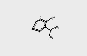 CC(C)c1cccnc1S